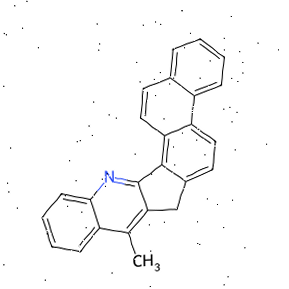 Cc1c2c(nc3ccccc13)-c1c(ccc3c1ccc1ccccc13)C2